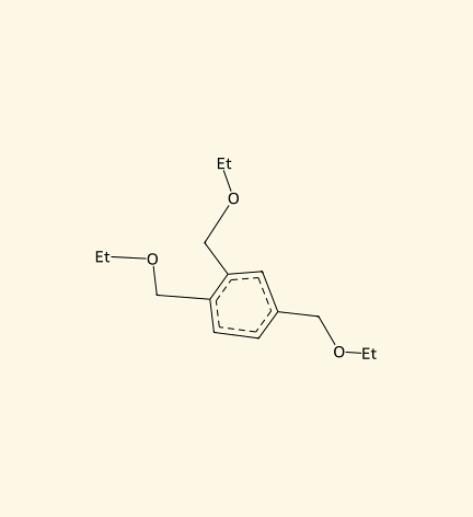 CCOCc1ccc(COCC)c(COCC)c1